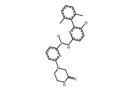 Cc1cccc(C)c1-c1nc(N[S+]([O-])c2cccc(N3CCNC(=O)C3)n2)ccc1Cl